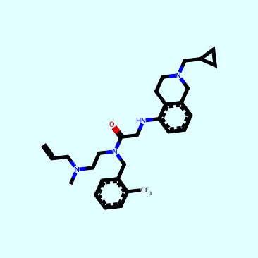 C=CCN(C)CCN(Cc1ccccc1C(F)(F)F)C(=O)CNc1cccc2c1CCN(CC1CC1)C2